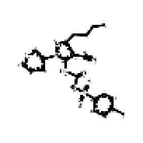 CCCCc1nn(-c2ccccc2)c(NC(=O)NS(=O)(=O)c2ccc(C)cc2)c1C#N